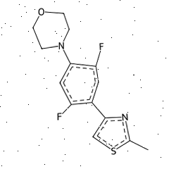 Cc1nc(-c2cc(F)c(N3CCOCC3)cc2F)cs1